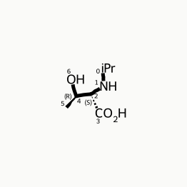 CC(C)N[C@H](C(=O)O)[C@@H](C)O